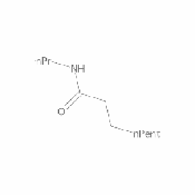 CC[CH]NC(=O)CCCCCCC